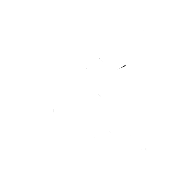 CC(C)C[C@H](NC(=O)[C@H](Cc1ccccc1)NC(=O)OCc1ccccc1)C(=O)N1CCC[C@H]1C(=O)O